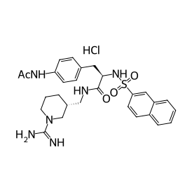 CC(=O)Nc1ccc(C[C@@H](NS(=O)(=O)c2ccc3ccccc3c2)C(=O)NC[C@H]2CCCN(C(=N)N)C2)cc1.Cl